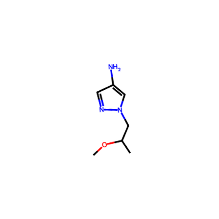 COC(C)Cn1cc(N)cn1